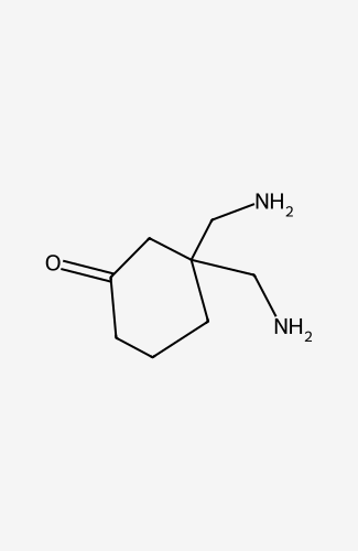 NCC1(CN)CCCC(=O)C1